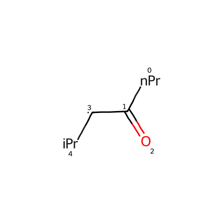 CCCC(=O)[CH]C(C)C